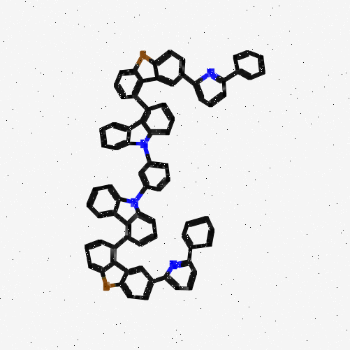 c1ccc(-c2cccc(-c3ccc4sc5cccc(-c6cccc7c6c6ccccc6n7-c6cccc(-n7c8ccccc8c8c(-c9cccc%10sc%11ccc(-c%12cccc(-c%13ccccc%13)n%12)cc%11c9%10)cccc87)c6)c5c4c3)n2)cc1